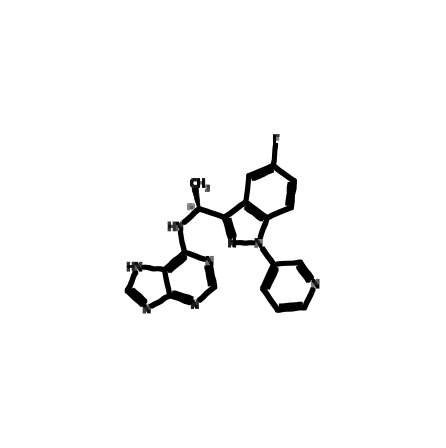 C[C@H](Nc1ncnc2nc[nH]c12)c1nn(-c2cccnc2)c2ccc(F)cc12